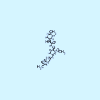 COc1cc(CNCc2cc(C)on2)ccc1OCC(=O)Nc1ccc(C)cc1